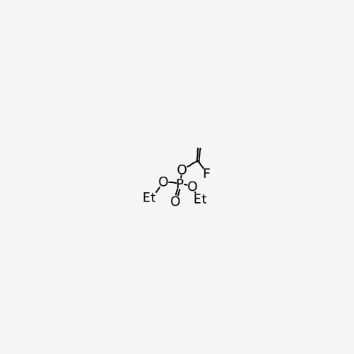 C=C(F)OP(=O)(OCC)OCC